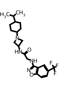 CC(C)C1CCC(N2CC(NC(=O)CNc3noc4ccc(C(F)(F)F)cc34)C2)CC1